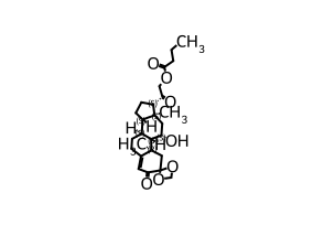 CCCC(=O)OCC(=O)[C@H]1CC[C@H]2[C@@H]3CCC4=CC(=O)C5(C[C@]4(C)[C@H]3[C@@H](O)C[C@]12C)OCO5